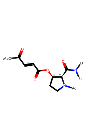 CCN(CC)C(=O)[C@@H]1[C@H](OC(=O)/C=C/C(=O)OC)CCN1C(C)=O